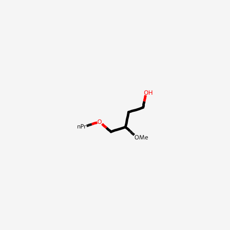 CCCOCC(CCO)OC